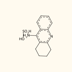 Nc1c2c(nc3ccccc13)CCCC2.O=S(=O)(O)O